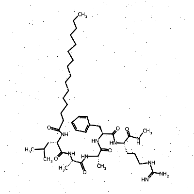 CCCCCCCCCCCCCCCC(=O)N[C@@H](CC(C)C)C(=O)N[C@@H](C)C(=O)N[C@@H](C)C(=O)N[C@@H](Cc1ccccc1)C(=O)N[C@@H](CCCNC(=N)N)C(=O)NC